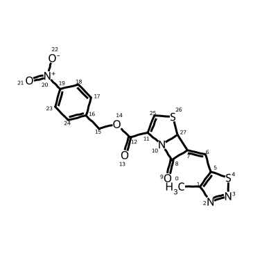 Cc1nnsc1C=C1C(=O)N2C(C(=O)OCc3ccc([N+](=O)[O-])cc3)=CSC12